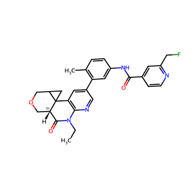 CCN1C(=O)[C@@H]2COCC3CC32c2cc(-c3cc(NC(=O)c4ccnc(CF)c4)ccc3C)cnc21